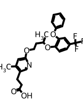 Cc1cc(OCCC(C)Oc2ccc(C(F)(F)F)cc2Oc2ccccc2)ncc1CCC(=O)O